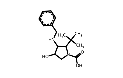 CC(C)(C)C1C(NCc2ccccc2)C(O)CN1C(=O)O